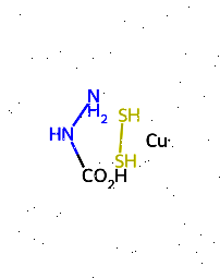 NNC(=O)O.SS.[Cu]